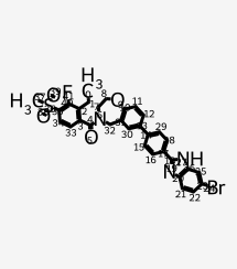 CCc1c(C(=O)N2CCOc3ccc(-c4ccc(-c5nc6ccc(Br)cc6[nH]5)cc4)cc3C2)ccc(S(C)(=O)=O)c1F